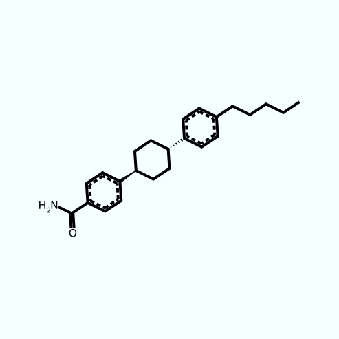 CCCCCc1ccc([C@H]2CC[C@H](c3ccc(C(N)=O)cc3)CC2)cc1